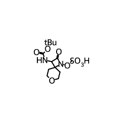 CC(C)(C)OC(=O)NC1C(=O)N(OS(=O)(=O)O)C12CCOCC2